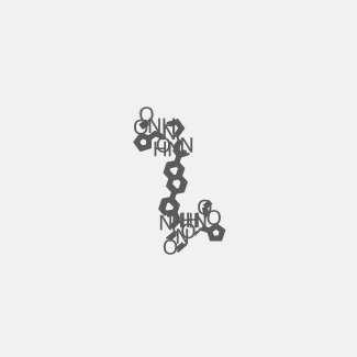 COC(=O)N[C@H](C(=O)N1CCC[C@H]1c1ncc(-c2ccc3cc(-c4ccc5nc([C@@H]6COCCN6OC[C@@H](NC(=O)OC)C6CCCC6)[nH]c5c4)ccc3c2)[nH]1)C1CCCC1